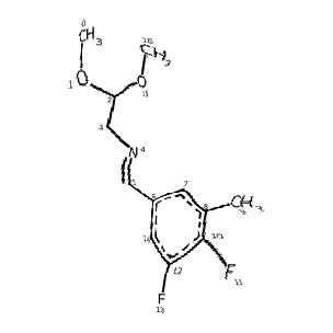 COC(C/N=C/c1cc(C)c(F)c(F)c1)OC